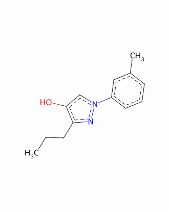 CCCc1nn(-c2cccc(C)c2)cc1O